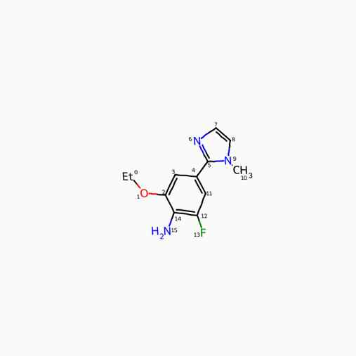 CCOc1cc(-c2nccn2C)cc(F)c1N